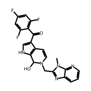 Cn1c(CN2C=Cc3c(C(=O)c4c(F)cc(F)cc4F)c[nH]c3C2O)nc2cccnc21